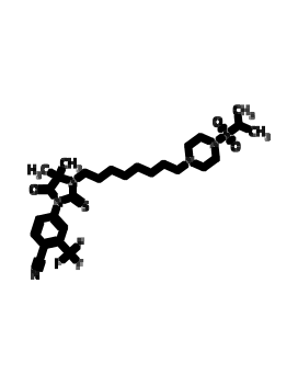 CC(C)S(=O)(=O)N1CCN(CCCCCCCCN2C(=S)N(c3ccc(C#N)c(C(F)(F)F)c3)C(=O)C2(C)C)CC1